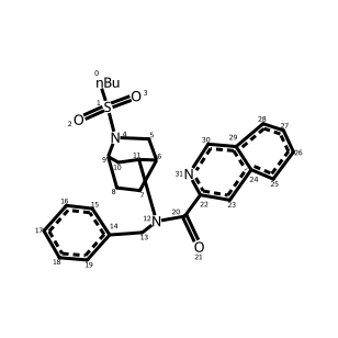 CCCCS(=O)(=O)N1CC2CCC1CC2N(Cc1ccccc1)C(=O)c1cc2ccccc2cn1